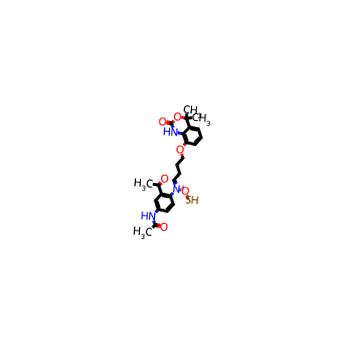 CC(=O)Nc1ccc([N+](=CCCCOc2cccc3c2NC(=O)OC3(C)C)OS)c(C(C)=O)c1